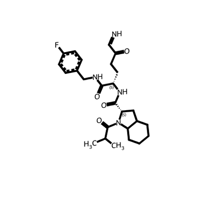 CC(C)C(=O)N1C2CCCCC2C[C@H]1C(=O)N[C@@H](CCC(=O)C=N)C(=O)NCc1ccc(F)cc1